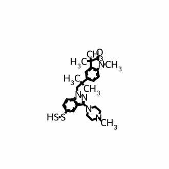 CN1CCN(c2nn(CC(C)(C)c3ccc4c(c3)C(C)(C)C(=O)N4C)c3ccc(SS)cc23)CC1